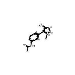 CC(=O)Nc1cccc(-c2c(S)nnn2C)c1